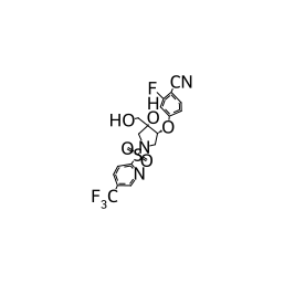 N#Cc1ccc(O[C@H]2CN(S(=O)(=O)c3ccc(C(F)(F)F)cn3)C[C@@]2(O)CO)cc1F